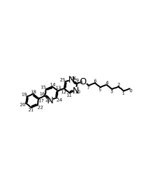 CCCCCCCCOc1ncc(-c2ccc(-c3ccccc3)nc2)cn1